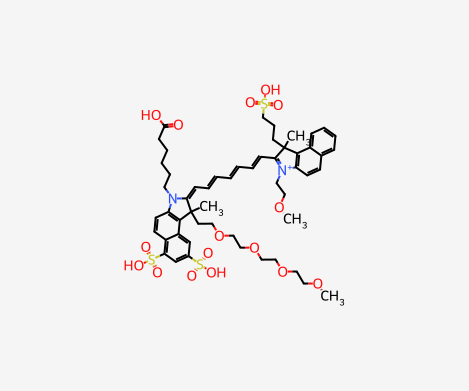 COCCOCCOCCOCCC1(C)\C(=C/C=C/C=C/C=C/C2=[N+](CCOC)c3ccc4ccccc4c3C2(C)CCCS(=O)(=O)O)N(CCCCCC(=O)O)c2ccc3c(S(=O)(=O)O)cc(S(=O)(=O)O)cc3c21